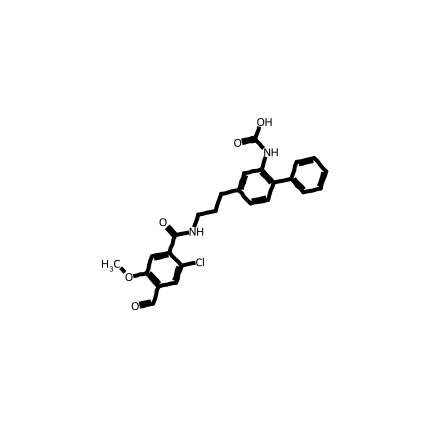 COc1cc(C(=O)NCCCc2ccc(-c3ccccc3)c(NC(=O)O)c2)c(Cl)cc1C=O